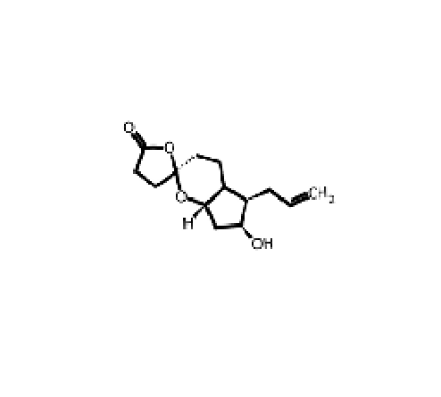 C=CC[C@@H]1C2CC[C@@]3(CCC(=O)O3)O[C@H]2C[C@@H]1O